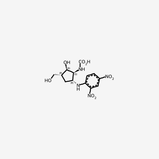 O=C(O)N[C@@H]1[C@H](O)[C@@H](CO)C[C@H]1Nc1ccc([N+](=O)[O-])cc1[N+](=O)[O-]